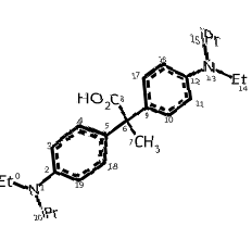 CCN(c1ccc(C(C)(C(=O)O)c2ccc(N(CC)C(C)C)cc2)cc1)C(C)C